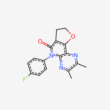 Cc1nc2c3c(c(=O)n(-c4ccc(F)cc4)c2nc1C)CCO3